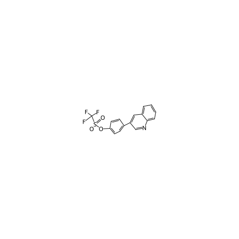 O=S(=O)(Oc1ccc(-c2cnc3ccccc3c2)cc1)C(F)(F)F